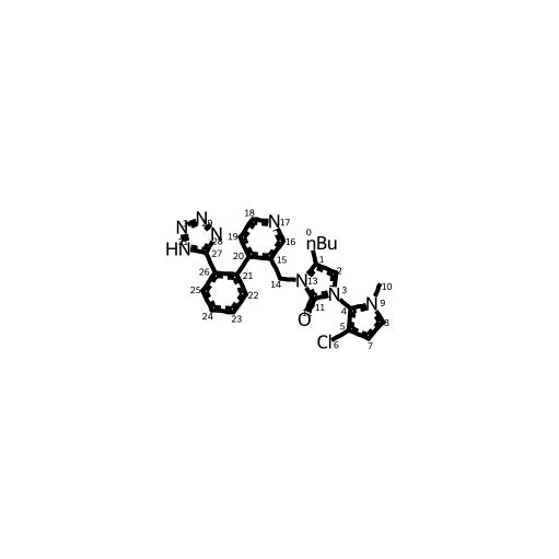 CCCCc1cn(-c2c(Cl)ccn2C)c(=O)n1Cc1cnccc1-c1ccccc1-c1nnn[nH]1